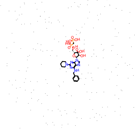 O=P(O)(O)CP(=O)(O)OC[C@H]1O[C@@H](n2cnc3c(NCc4ccccc4)nc(N4CCCCC4)nc32)[C@H](O)C1(O)O